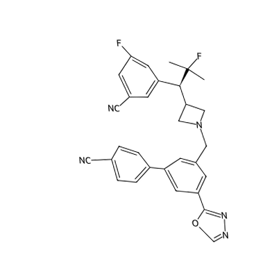 CC(C)(F)[C@H](c1cc(F)cc(C#N)c1)C1CN(Cc2cc(-c3ccc(C#N)cc3)cc(-c3nnco3)c2)C1